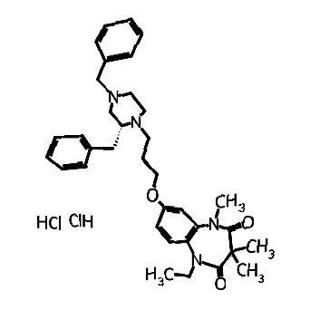 CCN1C(=O)C(C)(C)C(=O)N(C)c2cc(OCCCN3CCN(Cc4ccccc4)C[C@H]3Cc3ccccc3)ccc21.Cl.Cl